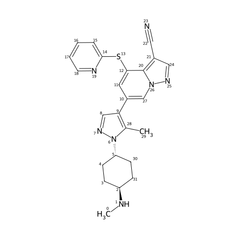 CN[C@H]1CC[C@H](n2ncc(-c3cc(Sc4ccccn4)c4c(C#N)cnn4c3)c2C)CC1